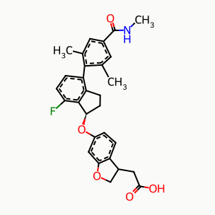 CNC(=O)c1cc(C)c(-c2ccc(F)c3c2CC[C@H]3Oc2ccc3c(c2)OCC3CC(=O)O)c(C)c1